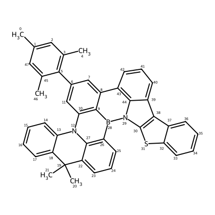 Cc1cc(C)c(-c2cc3c4c(c2)N2c5ccccc5C(C)(C)c5cccc(c52)B4n2c4sc5ccccc5c4c4cccc-3c42)c(C)c1